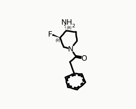 N[C@@H]1CCN(C(=O)Cc2ccccc2)C[C@H]1F